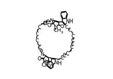 CN1C(=O)C2=C(C1=O)N1CCC(CCCCCC3CCN(CC3)C3=C(C(=O)N(C)C3=O)c3c([nH]c4ccccc34)CCCCCCCCCCCCc3[nH]c4ccccc4c32)CC1